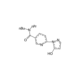 CCCCN(CCC)C(=O)c1ccc(-n2nccc2O)nc1